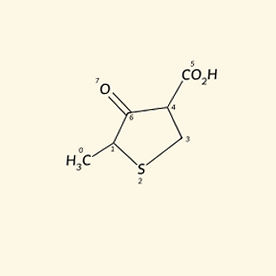 CC1SCC(C(=O)O)C1=O